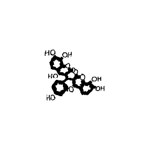 O=c1oc2c(O)c(O)ccc2c(O)c1C(c1ccc(O)cc1)c1c(O)c2ccc(O)c(O)c2oc1=O